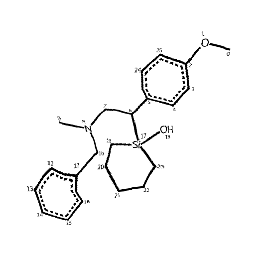 COc1ccc(C(CN(C)Cc2ccccc2)[Si]2(O)CCCCC2)cc1